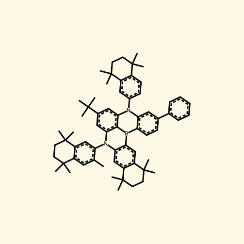 Cc1cc2c(cc1N1c3cc4c(cc3B3c5ccc(-c6ccccc6)cc5N(c5ccc6c(c5)C(C)(C)CCC6(C)C)c5cc(C(C)(C)C)cc1c53)C(C)(C)CCC4(C)C)C(C)(C)CCC2(C)C